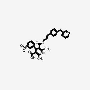 CC1=C(C(=O)O)C(c2cccc([N+](=O)[O-])c2)C(C(=O)OC/C=C/c2ccc(Cc3cccnc3)cc2)=C(C)N1